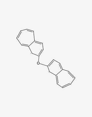 [CH]1C(OC2=CC=C3C=CC=CC=C3[CH]2)=CC=C2C=CC=CC=C12